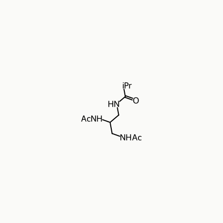 CC(=O)NCC(CNC(=O)C(C)C)NC(C)=O